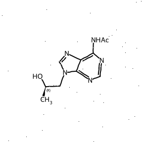 CC(=O)Nc1ncnc2c1ncn2C[C@@H](C)O